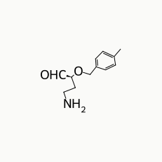 Cc1ccc(CO[C@H](C=O)CCN)cc1